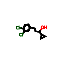 OC(CCc1ccc(Cl)c(Cl)c1)C1CC1